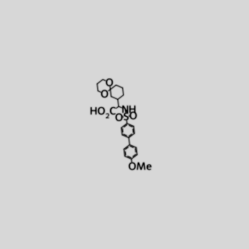 COc1ccc(-c2ccc(S(=O)(=O)NC(C(=O)O)C3CCCC4(C3)OCCCO4)cc2)cc1